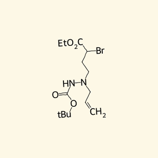 C=CCN(CCC(Br)C(=O)OCC)NC(=O)OC(C)(C)C